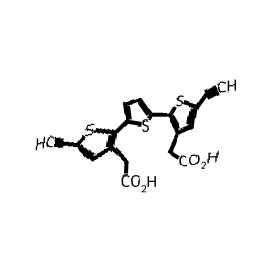 C#Cc1cc(CC(=O)O)c(-c2ccc(-c3sc(C#C)cc3CC(=O)O)s2)s1